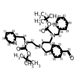 CC(C)(C)OC(=O)N(CCN(CCN(Cc1ccccn1)C(=O)OC(C)(C)C)Cc1ccc(C=O)cc1)Cc1ccccn1